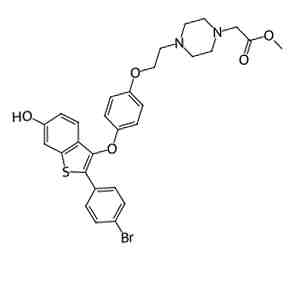 COC(=O)CN1CCN(CCOc2ccc(Oc3c(-c4ccc(Br)cc4)sc4cc(O)ccc34)cc2)CC1